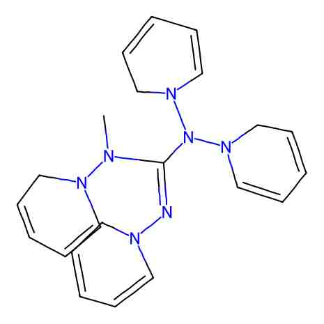 CN(C(=NN1C=CC=CC1)N(N1C=CC=CC1)N1C=CC=CC1)N1C=CC=CC1